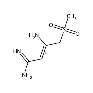 CS(=O)(=O)C/C(N)=C/C(=N)N